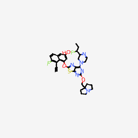 C#Cc1c(F)ccc2cc(O)cc(Oc3nc4c(N5CC=NC(C(F)CC)C5)nc(OCC56CCCN5CCC6)nc4s3)c12